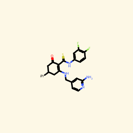 CC(C)C1CC(=O)C(C(=S)Nc2ccc(F)c(F)c2)=C(NCc2ccnc(N)c2)C1